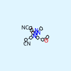 N#Cc1cccc(-c2ccc3c(c2)c2cc(-c4cccc(C#N)c4)ccc2n3-c2ccc(-c3ccc4oc5ccccc5c4c3)cc2-c2nc(-c3ccccc3)nc(-c3ccccc3)n2)c1